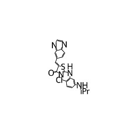 CC(C)Nc1ccc(Cl)c(NC2=NC(=O)/C(=C/c3ccc4nccnc4c3)S2)c1